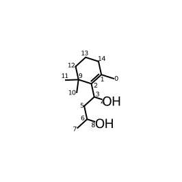 CC1=C(C(O)CC(C)O)C(C)(C)CCC1